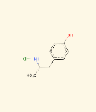 O=C(O)[C@@H](Cc1ccc(O)cc1)NCl